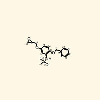 CS(=O)(=O)Nc1cc(OCC2CO2)ccc1OCc1ccccc1